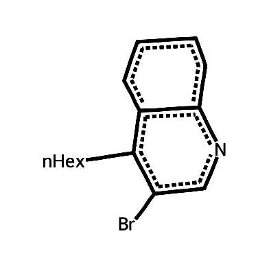 CCCCCCc1c(Br)cnc2ccccc12